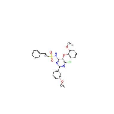 COc1cccc(-c2nc(Cl)c(Oc3ccccc3OC)c(NS(=O)(=O)/C=C/c3ccccc3)n2)c1